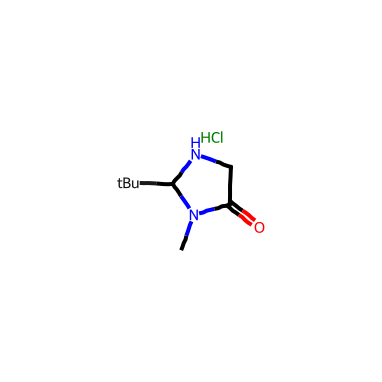 CN1C(=O)CNC1C(C)(C)C.Cl